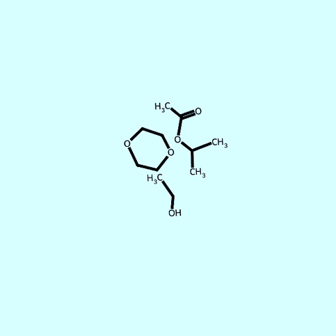 C1COCCO1.CC(=O)OC(C)C.CCO